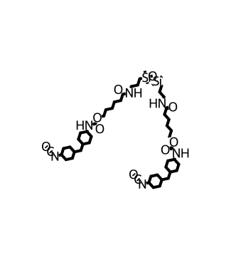 C[Si](C)(CCCNC(=O)CCCCCOC(=O)NC1CCC(CC2CCC(N=C=O)CC2)CC1)O[Si](C)(C)CCCNC(=O)CCCCCOC(=O)NC1CCC(CC2CCC(N=C=O)CC2)CC1